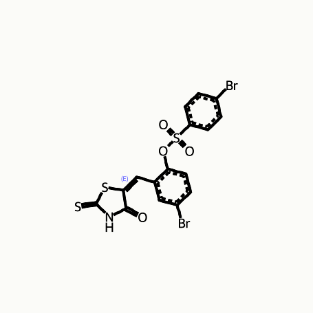 O=C1NC(=S)S/C1=C/c1cc(Br)ccc1OS(=O)(=O)c1ccc(Br)cc1